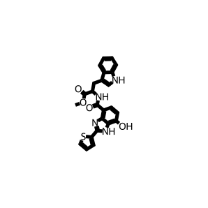 COC(=O)C(Cc1c[nH]c2ccccc12)NC(=O)c1ccc(O)c2[nH]c(-c3cccs3)nc12